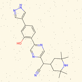 CC1(C)CC(C(C#N)c2cnc(-c3ccc(-c4cn[nH]c4)cc3O)cn2)CC(C)(C)N1